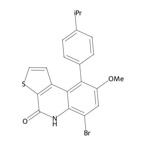 COc1cc(Br)c2[nH]c(=O)c3sccc3c2c1-c1ccc(C(C)C)cc1